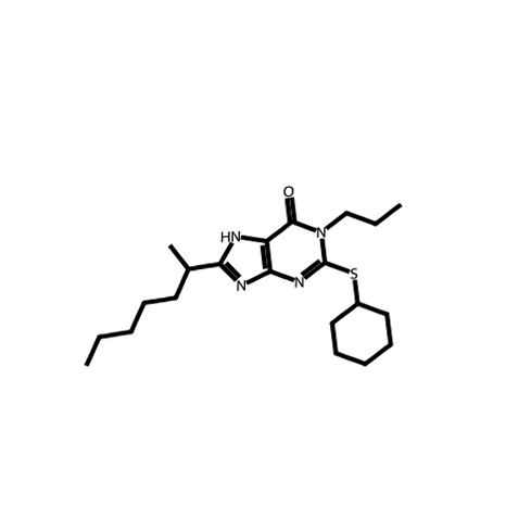 CCCCCC(C)c1nc2nc(SC3CCCCC3)n(CCC)c(=O)c2[nH]1